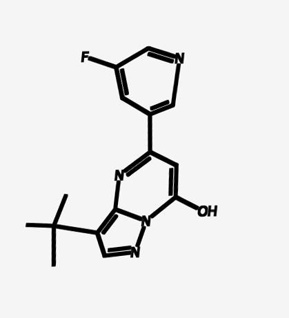 CC(C)(C)c1cnn2c(O)cc(-c3cncc(F)c3)nc12